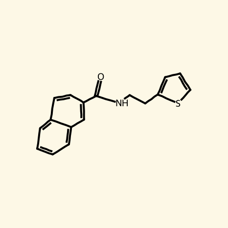 O=C(NCCc1cccs1)c1ccc2ccccc2c1